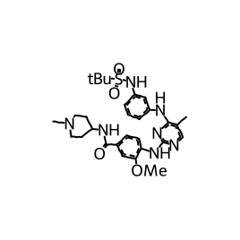 COc1cc(C(=O)NC2CCN(C)CC2)ccc1Nc1ncc(C)c(Nc2cccc(NS(=O)(=O)C(C)(C)C)c2)n1